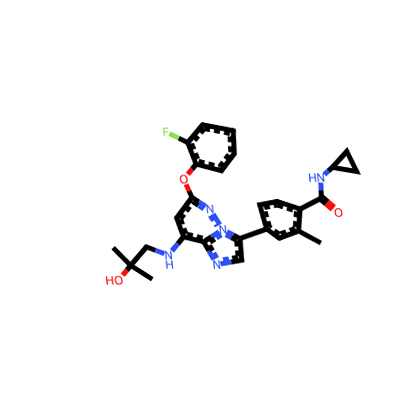 Cc1cc(-c2cnc3c(NCC(C)(C)O)cc(Oc4ccccc4F)nn23)ccc1C(=O)NC1CC1